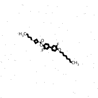 CCCCCCCCOc1ccc(-c2ccc(OC(=O)[C@H]3C[C@@H](CCCCC)C3)c(F)c2)cc1F